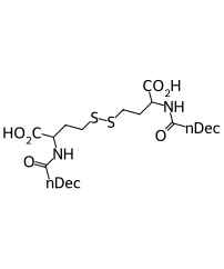 CCCCCCCCCCC(=O)NC(CCSSCCC(NC(=O)CCCCCCCCCC)C(=O)O)C(=O)O